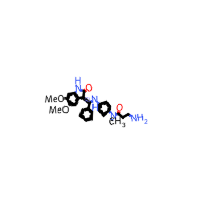 COc1cc2c(cc1OC)/C(=C(/Nc1ccc(N(C)C(=O)CCN)cc1)c1ccccc1)C(=O)N2